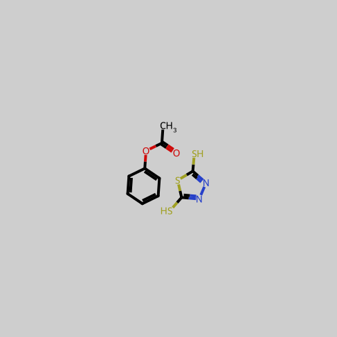 CC(=O)Oc1ccccc1.Sc1nnc(S)s1